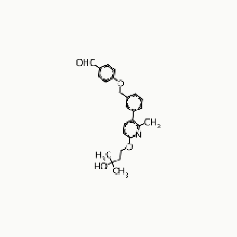 Cc1nc(OCCC(C)(C)O)ccc1-c1cccc(COc2ccc(C=O)cc2)c1